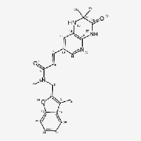 Cc1c(CN(C)C(=O)/C=C/c2cnc3c(c2)NC(C)(C)C(=O)N3)oc2ccccc12